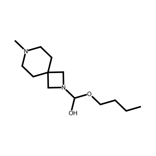 CCCCOC(O)N1CC2(CCN(C)CC2)C1